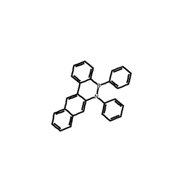 c1ccc(B2c3ccccc3-c3cc4ccccc4cc3N2c2ccccc2)cc1